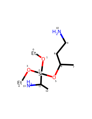 CCO[Si](OCC)(OC(C)CCN)C(C)N